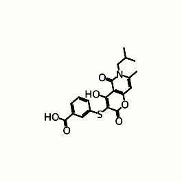 Cc1cc2oc(=O)c(Sc3cccc(C(=O)O)c3)c(O)c2c(=O)n1CC(C)C